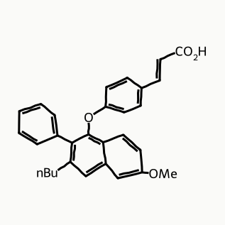 CCCCc1cc2cc(OC)ccc2c(Oc2ccc(C=CC(=O)O)cc2)c1-c1ccccc1